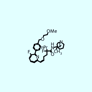 CCCC(F)(CC/C=C\C1=C=CC=C(F)C(c2ccc(COCCOC)cc2)=N1)C(=O)NC1(C)CCN2CCC1CC2